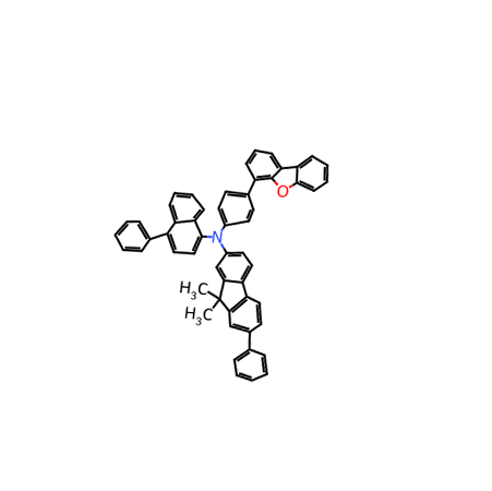 CC1(C)c2cc(-c3ccccc3)ccc2-c2ccc(N(c3ccc(-c4cccc5c4oc4ccccc45)cc3)c3ccc(-c4ccccc4)c4ccccc34)cc21